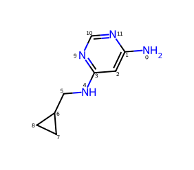 Nc1cc(NCC2CC2)ncn1